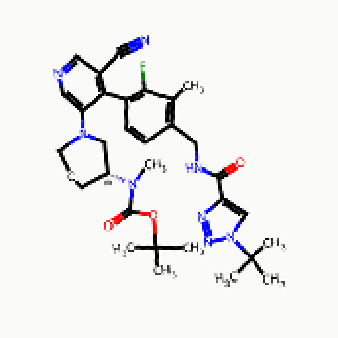 Cc1c(CNC(=O)c2cn(C(C)(C)C)nn2)ccc(-c2c(C#N)cncc2N2CCC[C@@H](N(C)C(=O)OC(C)(C)C)C2)c1F